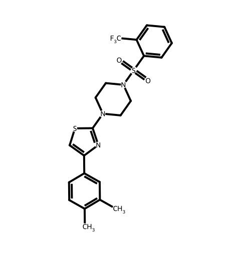 Cc1ccc(-c2csc(N3CCN(S(=O)(=O)c4ccccc4C(F)(F)F)CC3)n2)cc1C